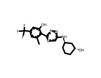 Cc1cc(C(F)(F)F)cc(O)c1-c1ncc(N[C@@H]2CCC[C@@H](O)C2)nn1